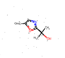 CC(C)(O)c1ncc(C=O)o1